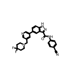 N#Cc1ccc(NC(=O)c2n[nH]c3ccc(-c4cncc(CN5CCC(F)(F)CC5)c4)cc23)cc1